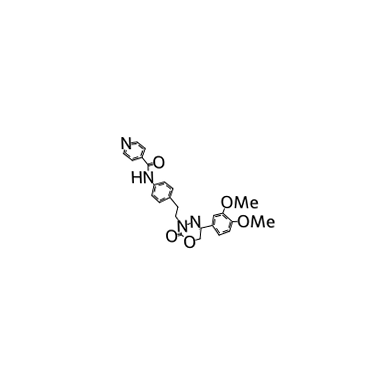 COc1ccc(C2=NN(CCc3ccc(NC(=O)c4ccncc4)cc3)C(=O)OC2)cc1OC